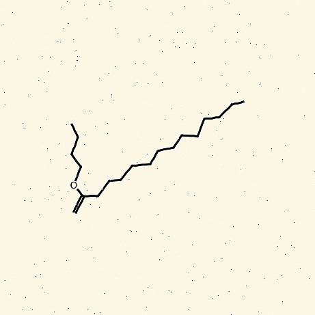 C=C(CCCCCCCCCCCCC)OCCCC